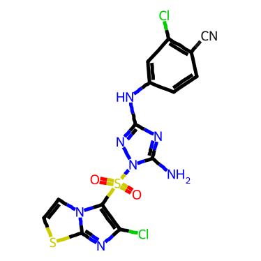 N#Cc1ccc(Nc2nc(N)n(S(=O)(=O)c3c(Cl)nc4sccn34)n2)cc1Cl